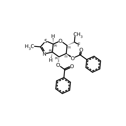 CC1=N[C@@H]2[C@@H](OC(=O)c3ccccc3)[C@H](OC(=O)c3ccccc3)[C@@H](C(C)F)O[C@@H]2S1